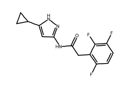 O=C(Cc1c(F)ccc(F)c1F)Nc1cc(C2CC2)[nH]n1